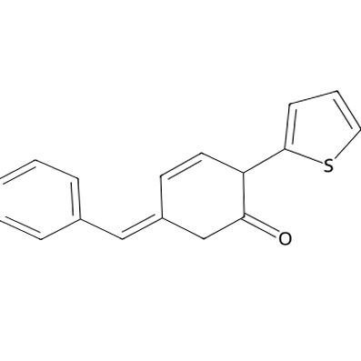 O=C1CC(=Cc2ccccc2)C=CC1c1cccs1